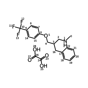 CNCC(COc1ccc(C(F)(F)F)cc1)Cc1ccccc1.O=C(O)C(=O)O